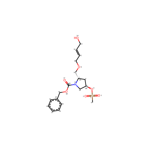 CS(=O)(=O)O[C@@H]1C[C@@H](COCC=CCO)N(C(=O)OCc2ccccc2)C1